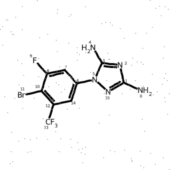 Nc1nc(N)n(-c2cc(F)c(Br)c(C(F)(F)F)c2)n1